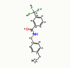 CCc1ccc(SNC(=O)c2cccc(C(F)(F)F)c2)cc1